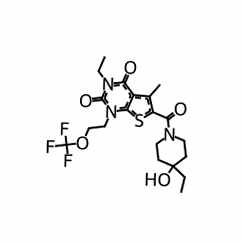 CCn1c(=O)c2c(C)c(C(=O)N3CCC(O)(CC)CC3)sc2n(CCOC(F)(F)F)c1=O